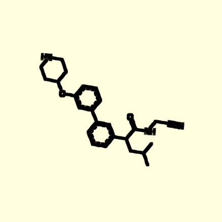 CC(C)CC(C(=O)NCC#N)c1cccc(-c2cccc(OC3CCNCC3)c2)c1